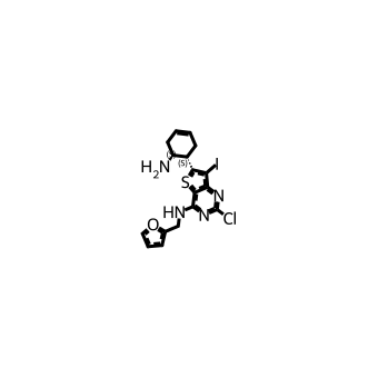 N[C@H]1CC=CC[C@@H]1c1sc2c(NCc3ccco3)nc(Cl)nc2c1I